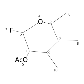 CC(=O)OC1C(F)OC(C)C(C)C1C